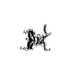 CCCC(O)O.O=C(OCCO)c1cc(C(=O)OCCO)cc(S(=O)(=O)O)c1.O=C=NCCCCCCN=C=O.O=C=NCN=C=O.OCCOCCOCCOCCO